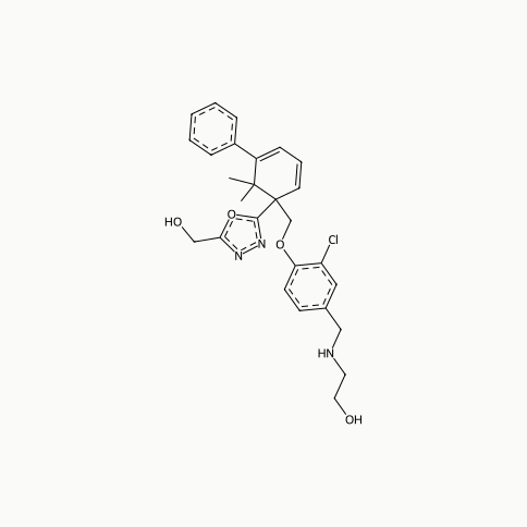 CC1(C)C(c2ccccc2)=CC=CC1(COc1ccc(CNCCO)cc1Cl)c1nnc(CO)o1